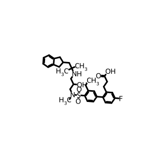 CCc1cc(-c2ccc(F)cc2CCC(=O)O)ccc1S(=O)(=O)N(C)CC(O)CNC(C)(C)CC1Cc2ccccc2C1